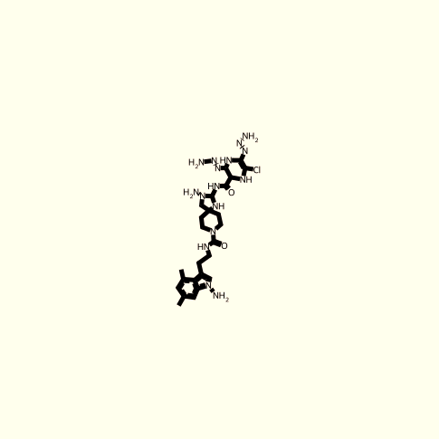 Cc1cc(C)c2c(CCNC(=O)N3CCC4(CC3)CN(N)C(NC(=O)C3NC(Cl)=C(N=NN)NC3N=NN)N4)cn(N)c2c1